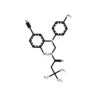 CC(C)(C)CC(=O)NCN(c1ccc(P)cc1)c1cc(C#N)ccc1N